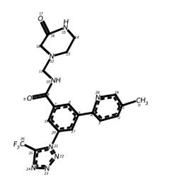 Cc1ccc(-c2cc(C(=O)NCN3CCNC(=O)C3)cc(-n3nnnc3C(F)(F)F)c2)nc1